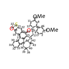 COc1ccc(C2(c3ccc(OC)cc3)C=Cc3c4c(c5cc6c(cc5c3O2)SCO6)-c2ccccc2C42CC(C)(C)CC(C)(C)C2)cc1